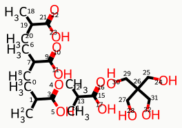 CC(C)C(=O)O.CC(C)C(=O)O.CC(C)C(=O)O.CC(C)C(=O)O.OCC(CO)(CO)CO